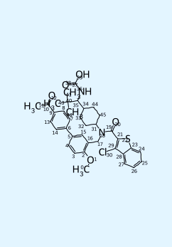 COc1ccc(-c2ccc(C(C)=O)cc2)cc1CN(C(=O)c1sc2ccccc2c1Cl)C1CCC(C(NC(=O)O)C(C)(C)C)CC1